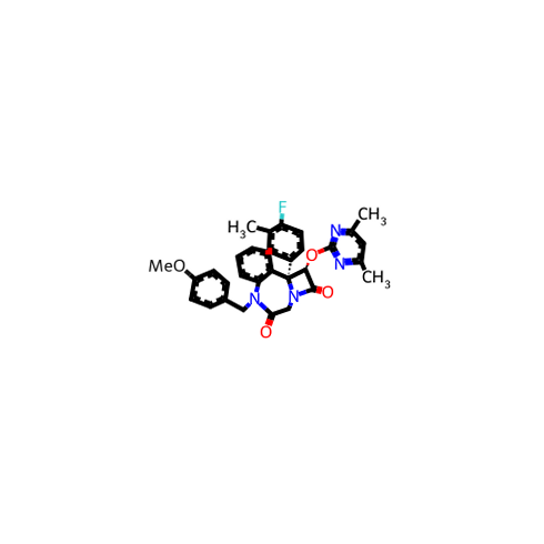 COc1ccc(CN2C(=O)CN3C(=O)[C@@H](Oc4nc(C)cc(C)n4)[C@]3(c3ccc(F)c(C)c3)c3ccccc32)cc1